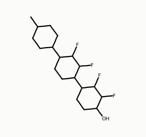 CC1CCC(C2CCC(C3CCC(O)C(F)C3F)C(F)C2F)CC1